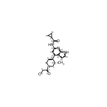 C[C@@H]1CN(C(=O)CCl)CC=C1c1cc(NC(=O)C2CC2)nc2[nH]ccc12